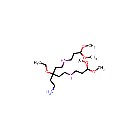 CCOC(CCN)(CCPCCC(OC)OC)CCPCCC(OC)OC